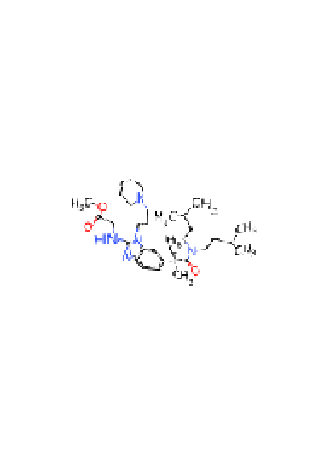 COC(=O)CNc1nc2ccc(C(C)(C)C(=O)N(CCC(C)C)CCC(C)C)cc2n1CCCN1CCCCC1